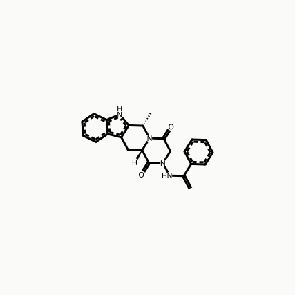 C=C(NN1CC(=O)N2[C@@H](Cc3c([nH]c4ccccc34)[C@@H]2C)C1=O)c1ccccc1